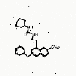 COc1ccc2cc(Cc3ccccc3)cc(CCNC(=O)NC3CCCCC3)c2c1